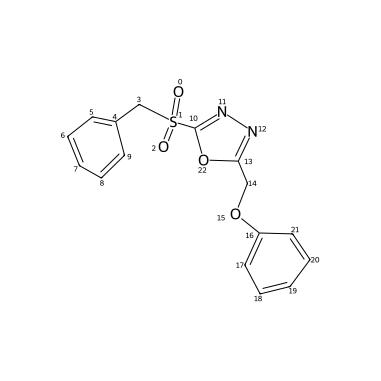 O=S(=O)(Cc1ccccc1)c1nnc(COc2ccccc2)o1